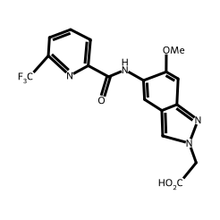 COc1cc2nn(CC(=O)O)cc2cc1NC(=O)c1cccc(C(F)(F)F)n1